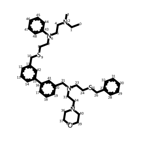 CCN(C)CCN(CCSCc1cccc(-c2cccc(CN(CCSCc3ccccc3)CCN3CCOCC3)c2)c1)c1ccccc1